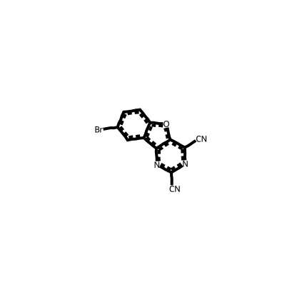 N#Cc1nc(C#N)c2oc3ccc(Br)cc3c2n1